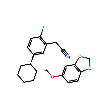 N#CCc1cc([C@@H]2CCCC[C@H]2COc2ccc3c(c2)OCO3)ccc1F